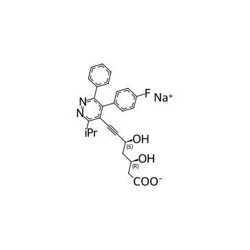 CC(C)c1nnc(-c2ccccc2)c(-c2ccc(F)cc2)c1C#C[C@@H](O)C[C@@H](O)CC(=O)[O-].[Na+]